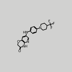 O=C1COc2cc(Nc3ccc(N4CCC(C(F)(F)F)CC4)cc3)cnc2N1